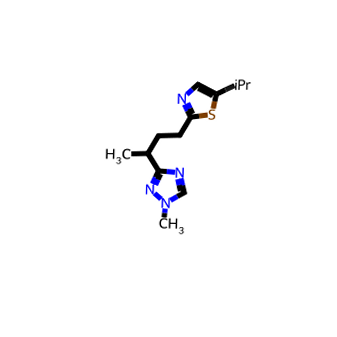 CC(C)c1cnc(CCC(C)c2ncn(C)n2)s1